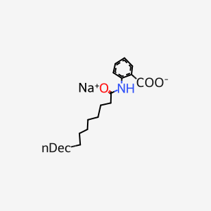 CCCCCCCCCCCCCCCCCC(=O)Nc1ccccc1C(=O)[O-].[Na+]